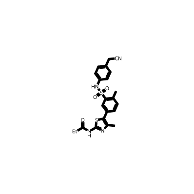 CCC(=O)Nc1nc(C)c(-c2ccc(C)c(S(=O)(=O)Nc3ccc(CC#N)cc3)c2)s1